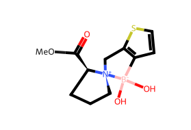 COC(=O)[C@@H]1CCC[N@+]12Cc1sccc1[B-]2(O)O